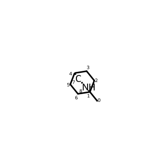 CC12CCC(CC1)CN2